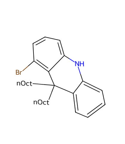 CCCCCCCCC1(CCCCCCCC)c2ccccc2Nc2cccc(Br)c21